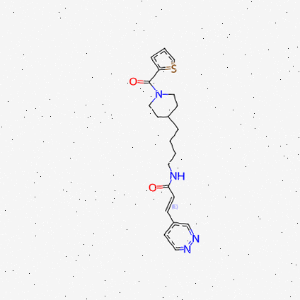 O=C(/C=C/c1ccnnc1)NCCCCC1CCN(C(=O)c2cccs2)CC1